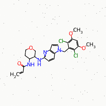 C=CC(=O)NC1CCOCC1Nc1ccc2c(ccn2Cc2c(Cl)c(OC)cc(OC)c2Cl)n1